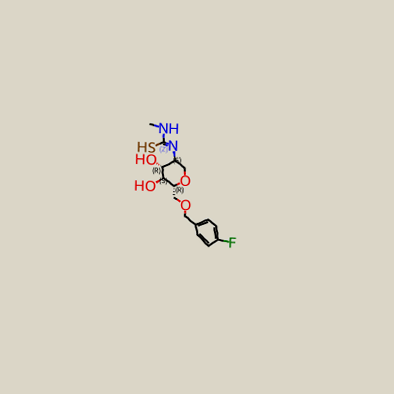 CN/C(S)=N/[C@H]1CO[C@H](COCc2ccc(F)cc2)[C@@H](O)[C@@H]1O